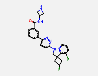 O=C(NC1CNC1)c1cccc(-c2ccc(NCC3(c4ncccc4F)CC(F)C3)nn2)c1